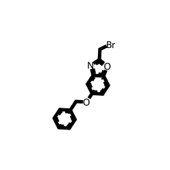 BrCc1nc2cc(OCc3ccccc3)ccc2o1